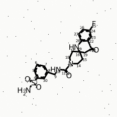 NS(=O)(=O)c1cccc(CNC(=O)N2CCC3(CC2)CC(=O)c2cc(F)ccc2N3)c1